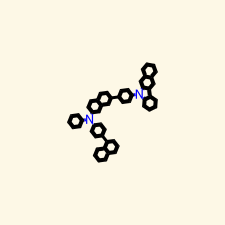 c1ccc(N(c2ccc(-c3cccc4ccccc34)cc2)c2ccc3ccc(-c4ccc(-n5c6ccccc6c6cc7ccccc7cc65)cc4)cc3c2)cc1